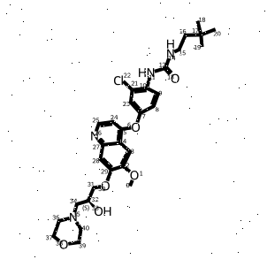 COc1cc2c(Oc3ccc(NC(=O)NCCC(C)(C)C)c(Cl)c3)ccnc2cc1OC[C@@H](O)CN1CCOCC1